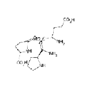 NC(=O)[C@@H]1CCCN1.N[C@@H](CCC(=O)O)C(=O)O.O=C1CC[C@@H](C(=O)O)N1